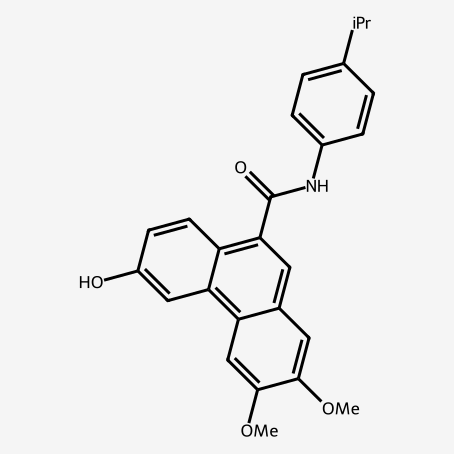 COc1cc2cc(C(=O)Nc3ccc(C(C)C)cc3)c3ccc(O)cc3c2cc1OC